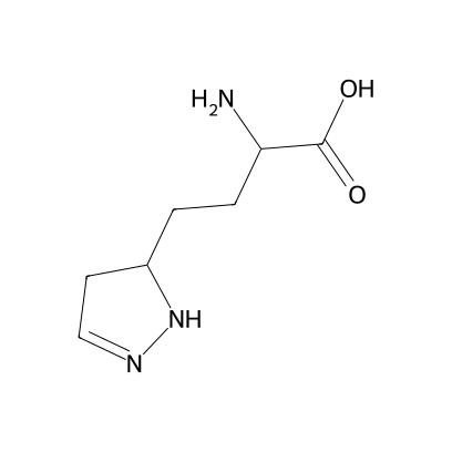 NC(CCC1CC=NN1)C(=O)O